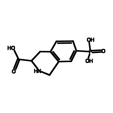 O=C(O)C1Cc2ccc(P(=O)(O)O)cc2CN1